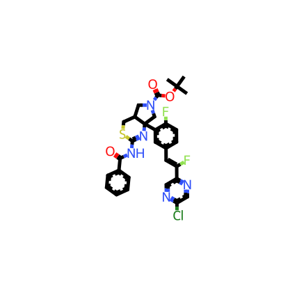 CC(C)(C)OC(=O)N1CC2CSC(NC(=O)c3ccccc3)=NC2(c2cc(/C=C(\F)c3cnc(Cl)cn3)ccc2F)C1